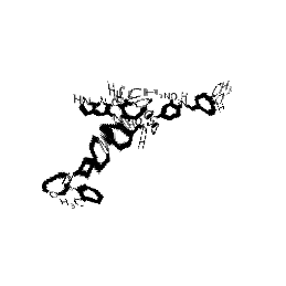 Cc1ccccc1[C@@H]1COCCCN1C1CC2(CCN(c3ccc(C(=O)NS(=O)(=O)c4ccc(NCC5CCC(C)(O)CC5)c([N+](=O)[O-])c4)c(N4c5cc6cc[nH]c6nc5O[C@@H]5[C@@H]4CCOC5(C)C)c3)CC2)C1